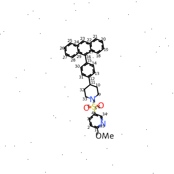 COc1ccc(S(=O)(=O)N2CCC(c3ccc(-c4c5ccccc5cc5ccccc45)cc3)CC2)cn1